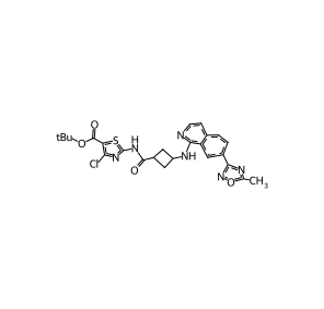 Cc1nc(-c2ccc3ccnc(NC4CC(C(=O)Nc5nc(Cl)c(C(=O)OC(C)(C)C)s5)C4)c3c2)no1